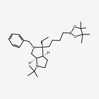 CC[C@@]1(CCCCB2OC(C)(C)C(C)(C)O2)[C@H]2CCN(C(C)(C)C)[C@H]2CN1Cc1ccccc1